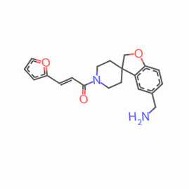 NCc1ccc2c(c1)C1(CCN(C(=O)C=Cc3ccco3)CC1)CO2